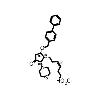 O=C(O)CC/C=C\CC[C@H]1[C@@H](OCc2ccc(-c3ccccc3)cc2)CC(=O)[C@@H]1N1CCSCC1